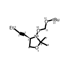 CCC#C[C@@H]1COC(C)(C)N1OCOC(C)(C)C